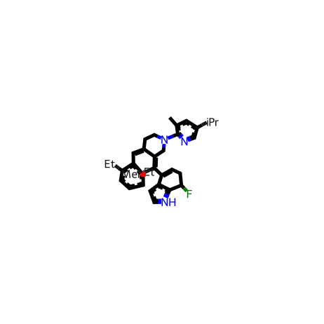 CCc1cccc(CC)c1/C=C1/CCN(c2ncc(C(C)C)cc2C)C/C1=C(/NC)C1=CCC(F)c2[nH]ccc21